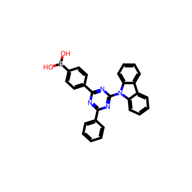 OB(O)c1ccc(-c2nc(-c3ccccc3)nc(-n3c4ccccc4c4ccccc43)n2)cc1